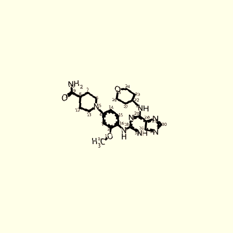 COc1cc(N2CCC(C(N)=O)CC2)ccc1Nc1nc(NC2CCOCC2)c2ncnc-2[nH]1